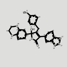 CC(C)(C)c1ccc(CC2=C(c3ccc4nsnc4c3)C(=O)OC2(O)c2ccc3c(c2)OCCO3)cc1